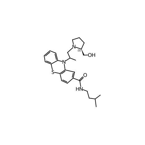 CC(C)CCNC(=O)c1ccc2c(c1)N(C(C)CN1CCC[C@H]1CO)c1ccccc1S2